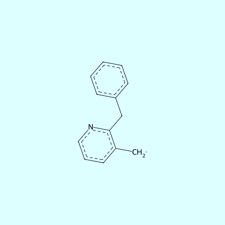 [CH2]c1cccnc1Cc1ccccc1